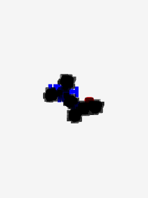 c1ccc(C2N=C(c3ccc(-n4c5ccccc5c5cc6c(cc54)oc4ccccc46)cc3)NC(c3ccccc3)N2)cc1